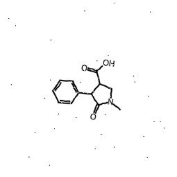 CN1CC(C(=O)O)C(c2ccccc2)C1=O